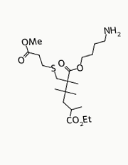 CCOC(=O)C(C)CC(C)(C)C(C)(CSCCC(=O)OC)C(=O)OCCCCN